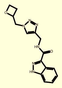 O=C(NCc1cn(CC2CCO2)nn1)c1n[nH]c2ccccc12